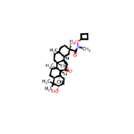 CN(OC1CCC1)C(=O)[C@@]1(C)CC[C@]2(C)CC[C@]3(C)C(=CC(=O)[C@@H]4[C@@]5(C)CC[C@H](O)C(C)(C)C5CC[C@]43C)[C@@H]2C1